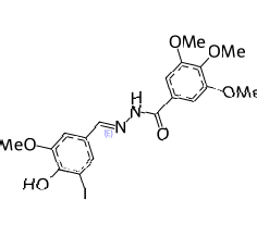 COc1cc(/C=N/NC(=O)c2cc(OC)c(OC)c(OC)c2)cc(I)c1O